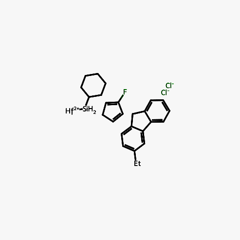 CCc1ccc2c(c1)-c1ccccc1C2.FC1=CCC=C1.[Cl-].[Cl-].[Hf+2][SiH2]C1CCCCC1